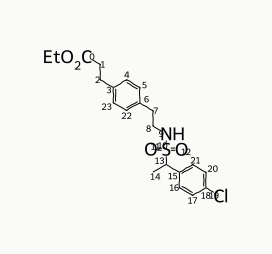 CCOC(=O)CCc1ccc(CCNS(=O)(=O)C(C)c2ccc(Cl)cc2)cc1